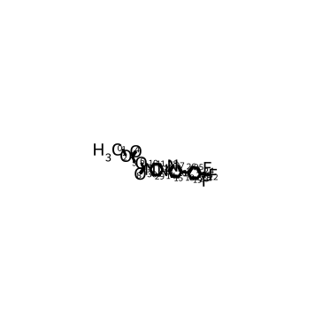 CCOC(=O)COC(=O)N1CCN(c2ccc(-c3ccc(C(F)(F)F)cc3)cn2)CC1